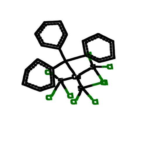 Cl[Si](Cl)(Cl)[Ge]([C](c1ccccc1)(c1ccccc1)c1ccccc1)([Si](Cl)(Cl)Cl)[Si](Cl)(Cl)Cl